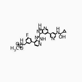 CS(=O)(=O)NCc1cc(F)cc(-c2ccnc3[nH]c(-c4n[nH]c5ncc(-c6cncc(NC(O)C7CC7)c6)cc45)nc23)c1